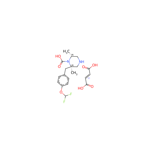 C[C@@H]1CNC[C@@](C)(Cc2ccc(OC(F)F)cc2)N1C(=O)O.O=C(O)/C=C/C(=O)O